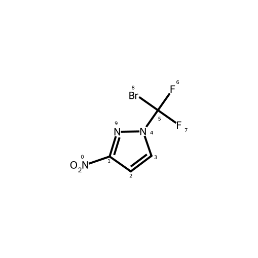 O=[N+]([O-])c1ccn(C(F)(F)Br)n1